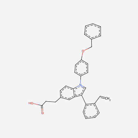 C=Cc1ccccc1-c1cn(-c2ccc(OCc3ccccc3)cc2)c2ccc(CCC(=O)O)cc12